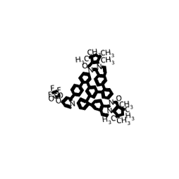 CC1(C)CC(C)(C)c2c1c(=O)nc1c3ccc(-c4ccccc4-c4cc(-c5ccccc5-c5ccc(-c6cc(OS(=O)(=O)C(F)(F)F)ccn6)cc5)cc(-c5ccccc5-c5ccc6c(ccn7c8c(c(=O)nc67)C(C)(C)CC8(C)C)c5)c4)cc3ccn21